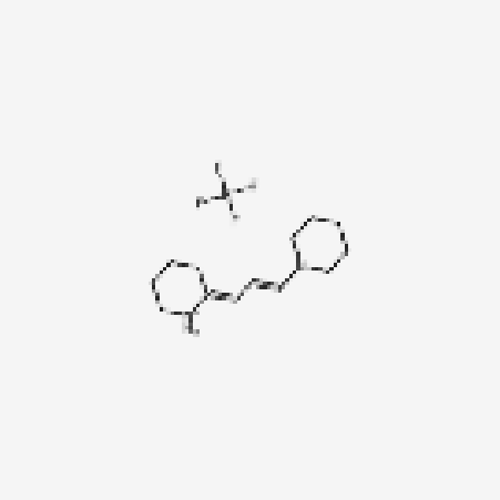 C(=CN1CCCCC1)C=C1CCCC[NH2+]1.F[B-](F)(F)F